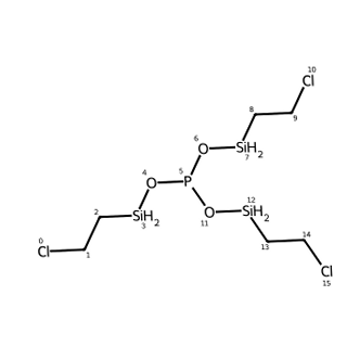 ClCC[SiH2]OP(O[SiH2]CCCl)O[SiH2]CCCl